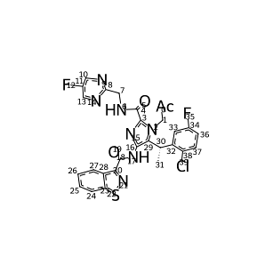 CC(=O)Cn1c(C(=O)NCc2ncc(F)cn2)nc(NC(=O)c2nsc3ccccc23)c1[C@@H](C)c1cc(F)ccc1Cl